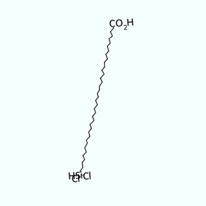 O=C(O)CCCCCCCCCCCCCCCCCCCCCCCCCCCCCCCCCCCCCC[SiH](Cl)Cl